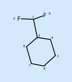 FC(F)[C]1CC[CH]CC1